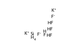 F.F.F.F.[F-].[F-].[K+].[K+].[SiH4]